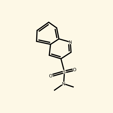 CN(C)S(=O)(=O)c1cnc2ccccc2c1